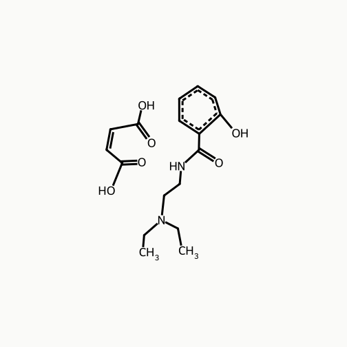 CCN(CC)CCNC(=O)c1ccccc1O.O=C(O)/C=C\C(=O)O